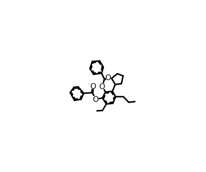 CCCc1cc(CC)c(OC(=O)c2ccccc2)c(OC(=O)c2ccccc2)c1C1CCCC1